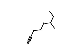 CCC(C)SCCC#N